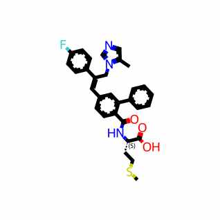 CSCC[C@H](NC(=O)c1ccc(C=C(Cn2cncc2C)c2ccc(F)cc2)cc1-c1ccccc1)C(=O)O